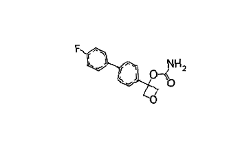 NC(=O)OC1(c2ccc(-c3ccc(F)cc3)cc2)COC1